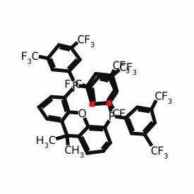 CC1(C)c2cccc(P(c3cc(C(F)(F)F)cc(C(F)(F)F)c3)c3cc(C(F)(F)F)cc(C(F)(F)F)c3)c2Oc2c(P(c3cc(C(F)(F)F)cc(C(F)(F)F)c3)c3cc(C(F)(F)F)cc(C(F)(F)F)c3)cccc21